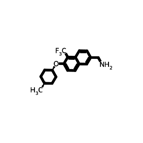 C[C@H]1CC[C@@H](Oc2ccc3cc(CN)ccc3c2C(F)(F)F)CC1